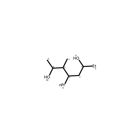 CCCC(CC(O)CC)C(C)C(C)O